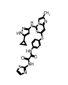 Cc1cn2c(Nc3cc(C4CC4)[nH]n3)nc(Sc3ccc(NC(=O)C(=O)Nc4nccs4)cc3)cc2n1